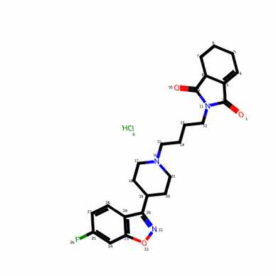 Cl.O=C1C2=CCCCC2C(=O)N1CCCCN1CCC(c2noc3cc(F)ccc23)CC1